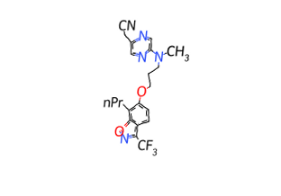 CCCc1c(OCCCN(C)c2cnc(CC#N)cn2)ccc2c(C(F)(F)F)noc12